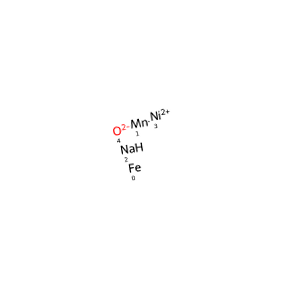 [Fe].[Mn].[NaH].[Ni+2].[O-2]